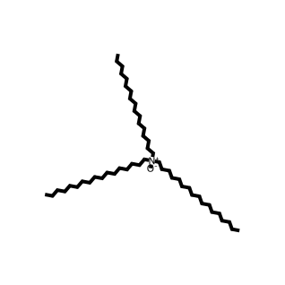 CCCCCCCCCCCCCCCCC[N+]([O-])(CCCCCCCCCCCCCCCCC)CCCCCCCCCCCCCCCCC